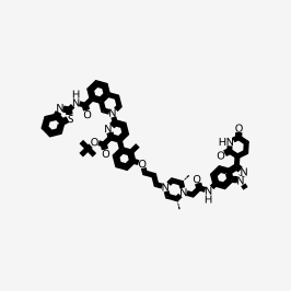 Cc1c(OCCCN2C[C@@H](C)N(CC(=O)Nc3ccc4c(C5CCC(=O)NC5=O)nn(C)c4c3)[C@@H](C)C2)cccc1-c1ccc(N2CCc3cccc(C(=O)Nc4nc5ccccc5s4)c3C2)nc1C(=O)OC(C)(C)C